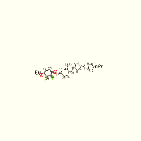 CCCC1CCC(CCC2CCC(C3CCC4CC(COc5ccc(OCC)c(F)c5F)CCC4C3)CC2)CC1